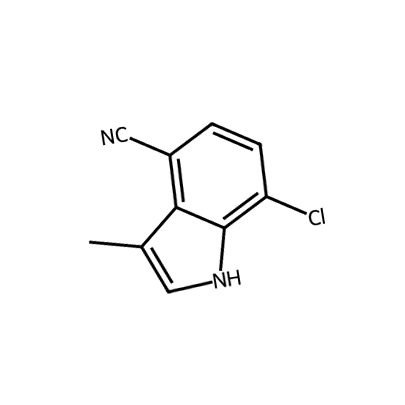 Cc1c[nH]c2c(Cl)ccc(C#N)c12